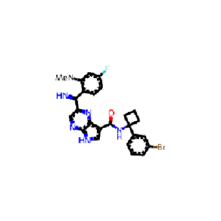 CNc1cc(F)ccc1C(=N)c1cnc2[nH]cc(C(=O)NC3(c4cccc(Br)c4)CCC3)c2n1